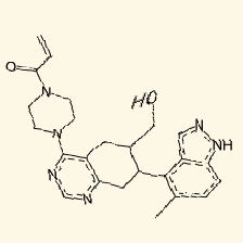 C=CC(=O)N1CCN(c2ncnc3c2CC(CO)C(c2c(C)ccc4[nH]ncc24)C3)CC1